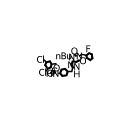 CCCCn1c(=O)n(Cc2ccccc2F)c(=O)c2[nH]c(Cc3ccc(NS(=O)(=O)c4c(C)cc(Cl)cc4Cl)cc3)nc21